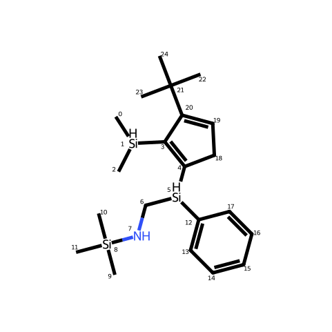 C[SiH](C)C1=C([SiH](CN[Si](C)(C)C)c2ccccc2)CC=C1C(C)(C)C